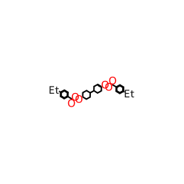 CCc1ccc(C(=O)OOC2=CCC(C3CCC(OOC(=O)c4ccc(CC)cc4)CC3)CC2)cc1